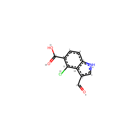 O=Cc1c[nH]c2ccc(C(=O)O)c(Cl)c12